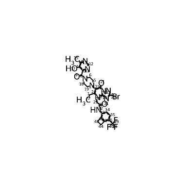 CCc1c(N2CCN(C(=O)c3ncnc(C)c3O)CC2)c(=O)n2nc(Br)nc2n1CC(=O)Nc1ccc(C(F)(F)F)c2c1CC2